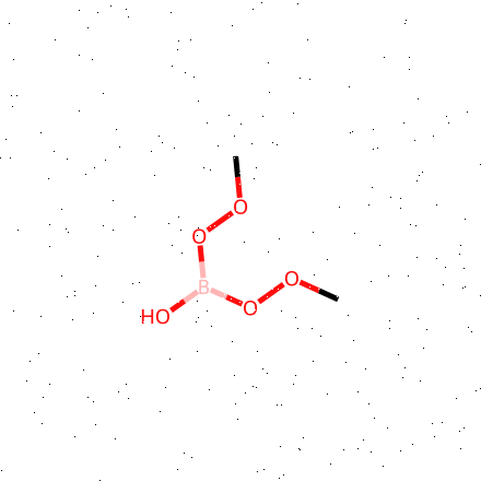 COOB(O)OOC